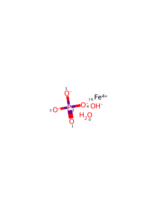 O.O=P([O-])([O-])[O-].[Fe+4].[OH-]